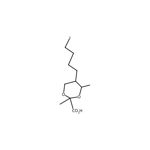 CC1OC(C)(C(=O)O)OCC1CCCCI